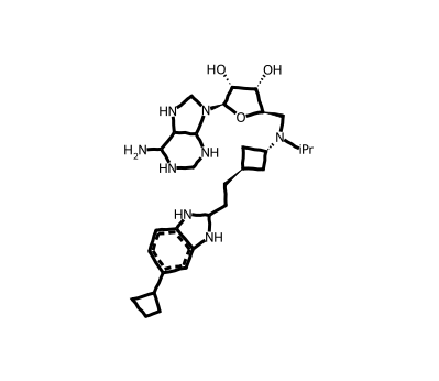 CC(C)N(C[C@H]1O[C@@H](N2CNC3C(N)NCNC32)[C@H](O)[C@@H]1O)[C@H]1C[C@H](CCC2Nc3ccc(C4CCC4)cc3N2)C1